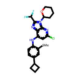 CSc1cc(C2CCC2)ccc1Nc1cc(Cl)nc2c1nc(C(F)F)n2C1CCCCO1